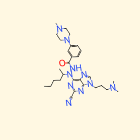 CCCCC(C)N(NC(=O)c1cccc(N2CCN(C)CC2)c1)c1nc(C#N)nc2c1ncn2CCCN(C)C